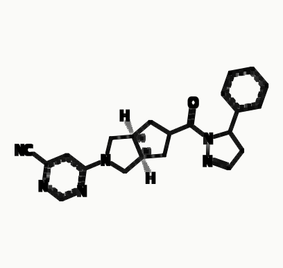 N#Cc1cc(N2C[C@H]3CC(C(=O)N4N=CCC4c4ccccc4)C[C@H]3C2)ncn1